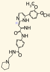 COc1ccc(C2=CC=N/C(=C/C(=N)C(=O)Nc3ccc(C(=O)NCCN4CCCCC4)cc3)N2)cc1OC